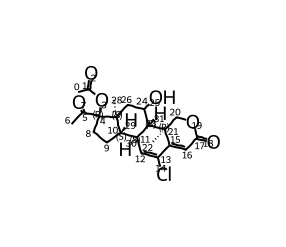 CC(=O)O[C@]1(C(C)=O)CC[C@H]2[C@@H]3C=C(Cl)C4=CC(=O)OC[C@]4(C)[C@H]3C(O)C[C@@]21C